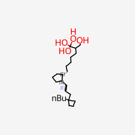 CCCCC1(C/C=C/[C@H]2CCC[C@@H]2CCCCCC(CO)C(O)(O)O)CCC1